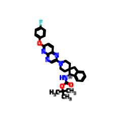 CC(C)(C)OC(=O)N[C@H]1c2ccccc2CC12CCN(c1cnc3nc(Oc4ccc(F)cc4)ccc3n1)CC2